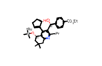 CCOC(=O)c1ccc([C@@H](O)c2c(C(C)C)nc3c(c2C2=CCCC2)[C@@H](O[Si](C)(C)C(C)(C)C)CC(C)(C)C3)cc1